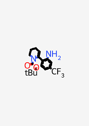 CC(C)(C)OC(=O)N1CCCC=C1c1ccc(C(F)(F)F)cc1N